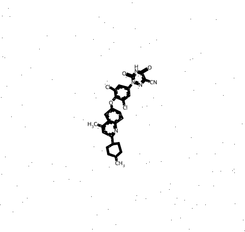 Cc1cc(C2CCC(C)CC2)nc2ccc(Oc3c(Cl)cc(-n4nc(C#N)c(=O)[nH]c4=O)cc3Cl)cc12